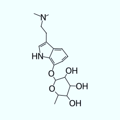 CC1OC(Oc2cccc3c(CCN(C)C)c[nH]c23)C(O)C(O)C1O